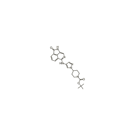 CC(C)(C)OC(=O)N1CCC(n2cc(Nc3ncc4c5c(cccc35)C(=O)N4)cn2)CC1